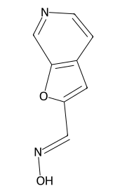 ON=Cc1cc2ccncc2o1